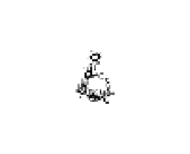 O=C1NCCCCOCc2cc(ccc2OCc2ccccc2)Nc2nccc(n2)-c2ccc1cc2[N+](=O)[O-]